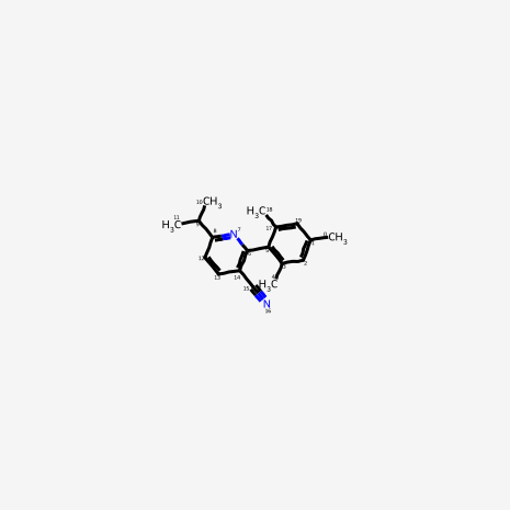 Cc1cc(C)c(-c2nc(C(C)C)ccc2C#N)c(C)c1